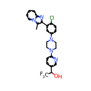 Cc1c(-c2cc(N3CCN(c4ccc(C(O)C(F)(F)F)cn4)CC3)ccc2Cl)nc2ccccn12